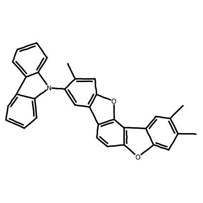 Cc1cc2oc3ccc4c5cc(-n6c7ccccc7c7ccccc76)c(C)cc5oc4c3c2cc1C